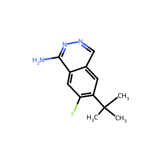 CC(C)(C)c1cc2cnnc(N)c2cc1F